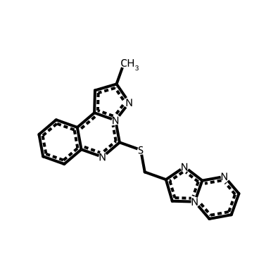 Cc1cc2c3ccccc3nc(SCc3cn4cccnc4n3)n2n1